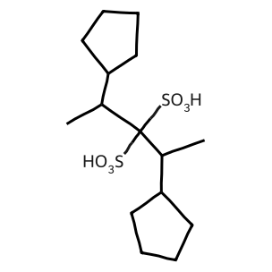 CC(C1CCCC1)C(C(C)C1CCCC1)(S(=O)(=O)O)S(=O)(=O)O